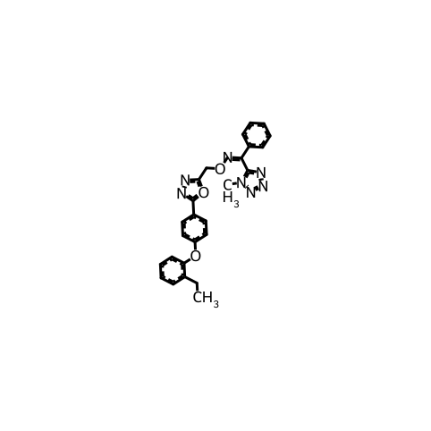 CCc1ccccc1Oc1ccc(-c2nnc(CO/N=C(/c3ccccc3)c3nnnn3C)o2)cc1